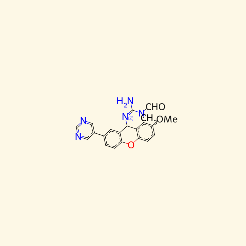 COc1ccc2c(c1)C(/N=C(/N)N(C)C=O)c1cc(-c3cncnc3)ccc1O2